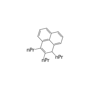 CCCC1=C(CCC)C(CCC)c2cccc3cccc1c23